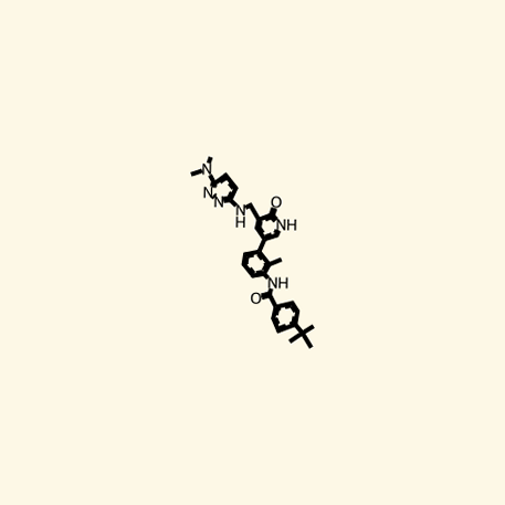 Cc1c(NC(=O)c2ccc(C(C)(C)C)cc2)cccc1-c1c[nH]c(=O)c(CNc2ccc(N(C)C)nn2)c1